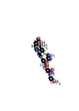 COc1cc(CN2CCN(C3CC4(C3)CN(c3ccc(C(=O)NS(=O)(=O)c5ccc(NC[C@H]6CC[C@](C)(O)CC6)c([N+](=O)[O-])c5)c(Oc5cnc6[nH]cc(F)c6c5)c3)C4)[C@H](c3ccccc3C(C)C)C2)ccc1C1COC1